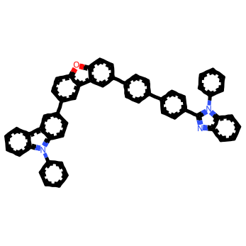 c1ccc(-n2c(-c3ccc(-c4ccc(-c5ccc6oc7ccc(-c8ccc9c(c8)c8ccccc8n9-c8ccccc8)cc7c6c5)cc4)cc3)nc3ccccc32)cc1